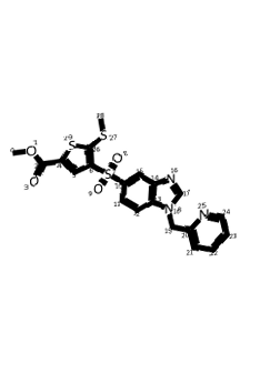 COC(=O)c1cc(S(=O)(=O)c2ccc3c(c2)ncn3Cc2ccccn2)c(SC)s1